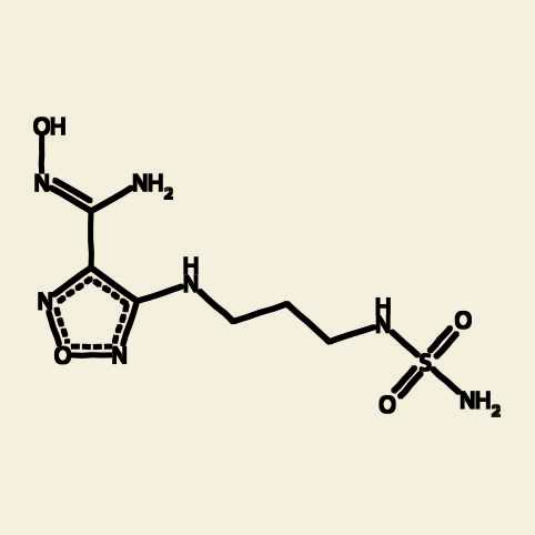 N/C(=N\O)c1nonc1NCCCNS(N)(=O)=O